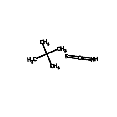 CC(C)(C)C.N=C=S